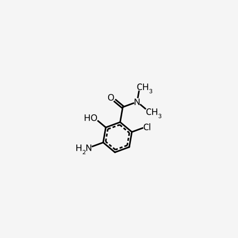 CN(C)C(=O)c1c(Cl)ccc(N)c1O